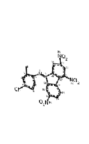 Cc1cc(Cl)ccc1/N=C1\c2cc([N+](=O)[O-])ccc2-c2c1cc([N+](=O)[O-])cc2[N+](=O)[O-]